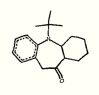 CC(C)(C)N1c2ccccc2CC(=O)C2CCCCC21